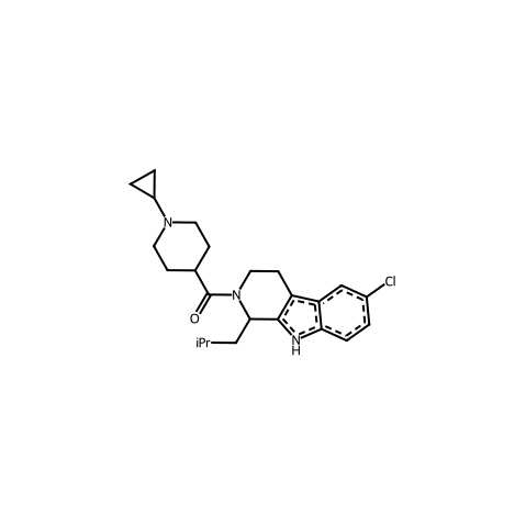 CC(C)CC1c2[nH]c3ccc(Cl)cc3c2CCN1C(=O)C1CCN(C2CC2)CC1